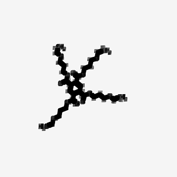 C=COCCCOC(=O)c1cc(C(=O)OCCCOC=C)c(C(=O)OCCCOC=C)cc1C(=O)OCCCOC=C